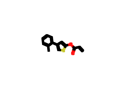 C=CC(=O)Oc1cc(-c2ccccc2C)cs1